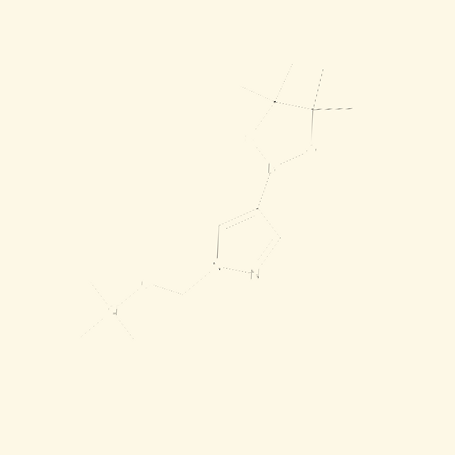 CC1(C)OB(c2cnn(CO[Si](C)(C)C)c2)OC1(C)C